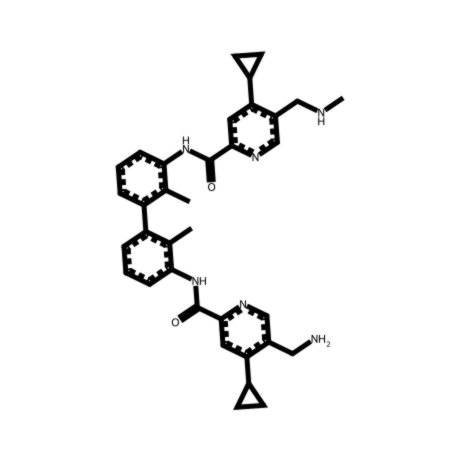 CNCc1cnc(C(=O)Nc2cccc(-c3cccc(NC(=O)c4cc(C5CC5)c(CN)cn4)c3C)c2C)cc1C1CC1